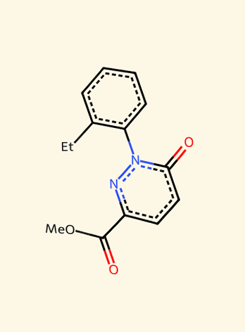 CCc1ccccc1-n1nc(C(=O)OC)ccc1=O